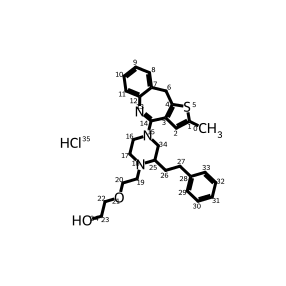 Cc1cc2c(s1)Cc1ccccc1N=C2N1CCN(CCOCCO)C(CCc2ccccc2)C1.Cl